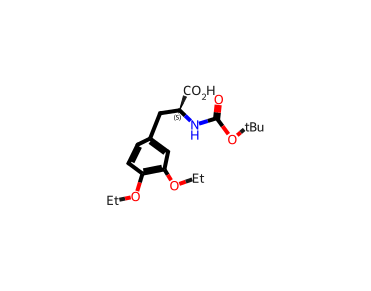 CCOc1ccc(C[C@H](NC(=O)OC(C)(C)C)C(=O)O)cc1OCC